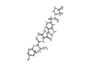 C[C@H](N(Cc1ccc(F)cc1)C(=O)CN1C(=O)O[C@@]2(CCc3cc(NC(=O)[C@@H]4CCC(=O)N4)ccc32)C1=O)C(F)(F)F